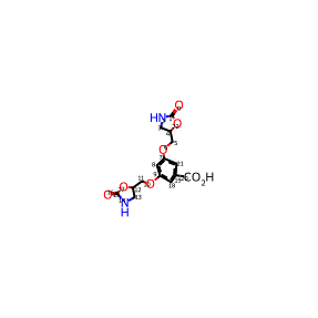 O=C1NCC(COc2cc(OCC3CNC(=O)O3)cc(C(=O)O)c2)O1